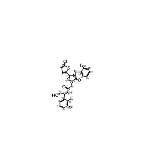 O=C(Cn1nc(-c2ccc(Cl)s2)n(Cc2ccccc2F)c1=O)NC(CO)c1cccc(F)c1F